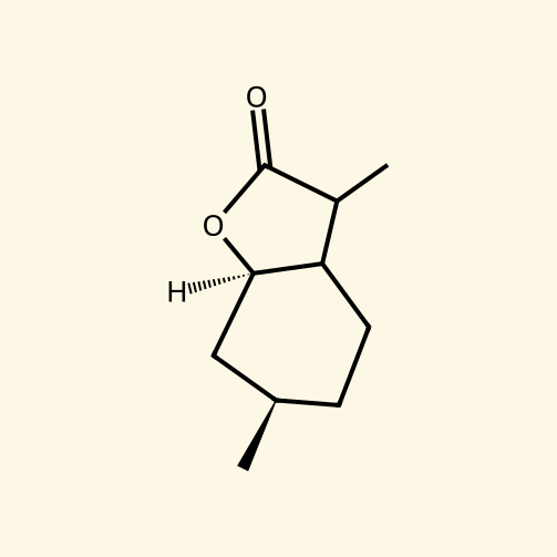 CC1C(=O)O[C@@H]2C[C@H](C)CCC12